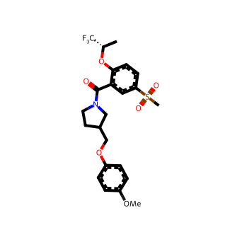 COc1ccc(OCC2CCN(C(=O)c3cc(S(C)(=O)=O)ccc3O[C@@H](C)C(F)(F)F)C2)cc1